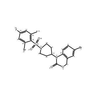 O=C1OCc2cc(Br)ccc2N1C1CCN(S(=O)(=O)c2c(F)cc(F)cc2Br)CC1